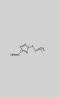 C=CCC1[C]=CC(CCCCC)=C1